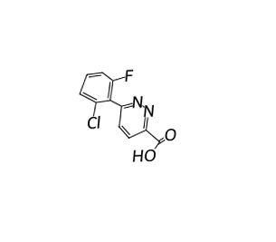 O=C(O)c1ccc(-c2c(F)cccc2Cl)nn1